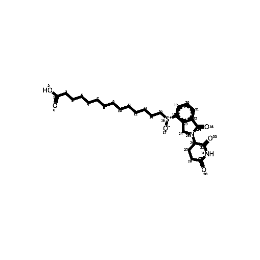 O=C(O)CCCCCCCCCCCCC[S+]([O-])c1cccc2c1CN(C1CCC(=O)NC1=O)C2=O